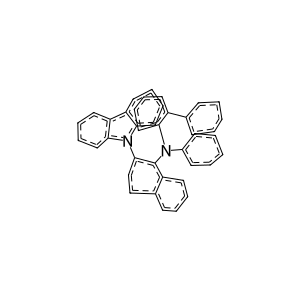 c1ccc(-c2ccccc2N(c2ccccc2)c2c(-n3c4ccccc4c4ccccc43)ccc3ccccc23)cc1